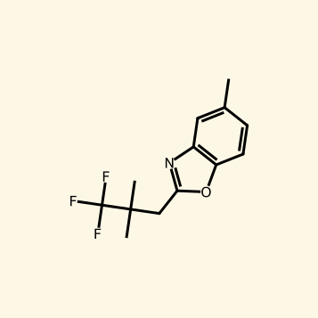 Cc1ccc2oc(CC(C)(C)C(F)(F)F)nc2c1